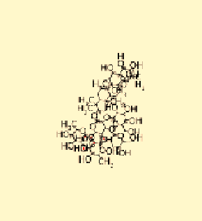 CC1O[C@@H](OC2C(O)[C@@H](O)C(C)O[C@H]2OC2C(O)[C@@H](O)C(CO)O[C@H]2OC2C(O[C@@H]3OC(CO)[C@H](O)C(O)C3O)[C@H](O[C@H]3CC[C@@]4(C)C(CC[C@]5(C)C4CC[C@]46O[C@H](O)[C@]7(C4C[C@H](C)[C@@H](O)[C@@H]7O)[C@H](O)C[C@]65C)C3(C)C)OC(C(=O)O)[C@H]2O)C(O)C(O)[C@H]1O